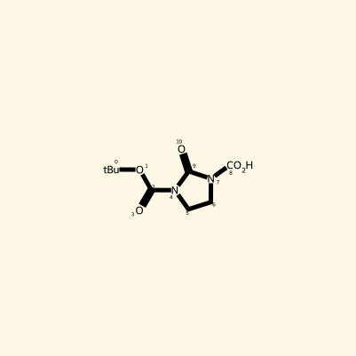 CC(C)(C)OC(=O)N1CCN(C(=O)O)C1=O